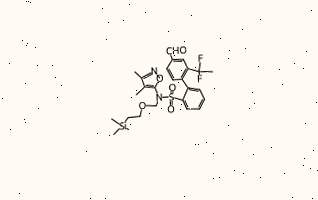 Cc1noc(N(COCC[Si](C)(C)C)S(=O)(=O)c2ccccc2-c2ccc(C=O)cc2C(C)(F)F)c1C